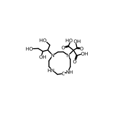 O=C(O)C(C(=O)O)(C(=O)O)N1CCNCCNCCN(C(CO)C(O)CO)CC1